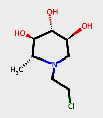 C[C@@H]1[C@@H](O)[C@H](O)[C@@H](O)CN1CCCl